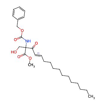 CCCCCCCCCCC/C=C/C(=O)C(CO)(NC(=O)OCc1ccccc1)C(=O)OC